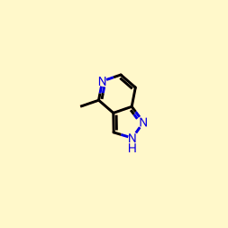 Cc1nccc2n[nH]cc12